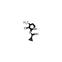 Cc1cc[nH]/c(=N\C(=N)C2CC2)c1Cl